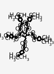 CC(C)(C)c1ccc(C(=O)OOC(=O)OCCC(COC(=O)OOC(=O)c2ccc(C(C)(C)C)cc2)C(COC(=O)OOC(=O)c2ccc(C(C)(C)C)cc2)C(CCOC(=O)OOC(=O)c2ccc(C(C)(C)C)cc2)COC(=O)OOC(=O)c2ccc(C(C)(C)C)cc2)cc1